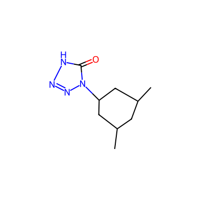 CC1CC(C)CC(n2nn[nH]c2=O)C1